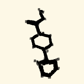 CC(C)CC(=O)N1CCN(c2ncccn2)CC1